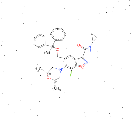 C[C@@H]1CN(c2c(CO[Si](c3ccccc3)(c3ccccc3)C(C)(C)C)cc3c(C(=O)NC4CC4)noc3c2F)C[C@H](C)O1